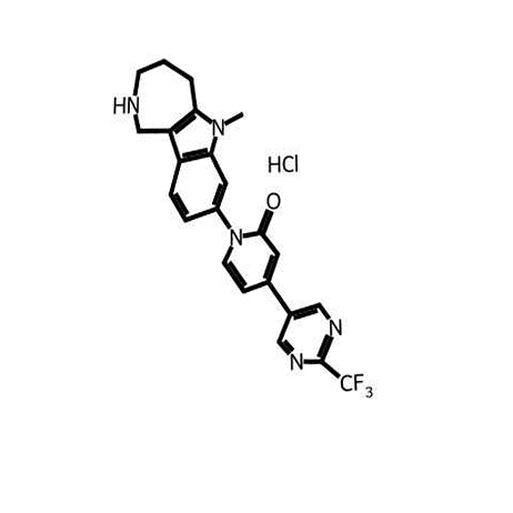 Cl.Cn1c2c(c3ccc(-n4ccc(-c5cnc(C(F)(F)F)nc5)cc4=O)cc31)CNCCC2